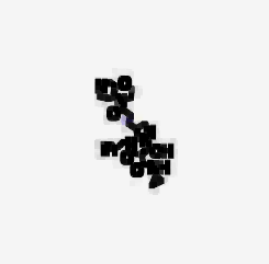 CC(C)Cn1c(=O)c(C(=O)NC2CC2)c(O)n2ncc(/C=C/C(=O)N3CCOc4cnccc43)c12